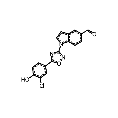 O=Cc1ccc2c(ccn2-c2noc(-c3ccc(O)c(Cl)c3)n2)c1